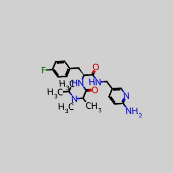 CC(C)N(C)C(C)C(=O)N[C@@H](Cc1ccc(F)cc1)C(=O)NCc1ccc(N)nc1